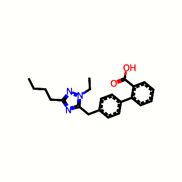 CCCCc1nc(Cc2ccc(-c3ccccc3C(=O)O)cc2)n(CC)n1